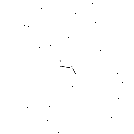 [CH2]OC.[LiH]